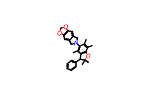 Cc1c(C)c(N2Cc3cc4c(cc3C2)OCO4)c(C)c2c1OC(C)(C)C2c1ccccc1